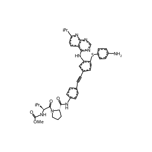 COC(=O)N[C@H](C(=O)N1CCC[C@H]1C(=O)Nc1ccc(C#Cc2ccc(Sc3ccc(N)cc3)c(Nc3ncnc4nc(C(C)C)ccc34)c2)cc1)C(C)C